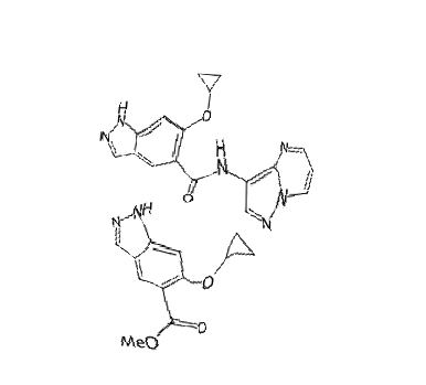 COC(=O)c1cc2cn[nH]c2cc1OC1CC1.O=C(Nc1cnn2cccnc12)c1cc2cn[nH]c2cc1OC1CC1